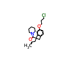 C=CCC1(C(=O)N2CCCCC2)Cc2ccc(OCCCCl)cc21